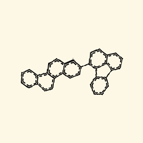 [c]1c(-c2ccc3cccc4c3c2-c2ccccc2-4)ccc2c1ccc1c3ccccc3ccc21